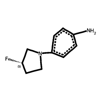 Nc1ccc(N2CC[C@H](F)C2)cc1